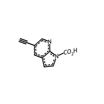 C#Cc1cnc2c(ccn2C(=O)O)c1